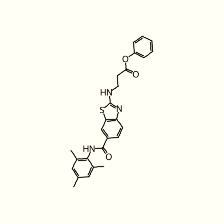 Cc1cc(C)c(NC(=O)c2ccc3nc(NCCC(=O)Oc4ccccc4)sc3c2)c(C)c1